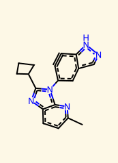 Cc1ccc2nc(C3CCC3)n(-c3c#cc4[nH]ncc4c3)c2n1